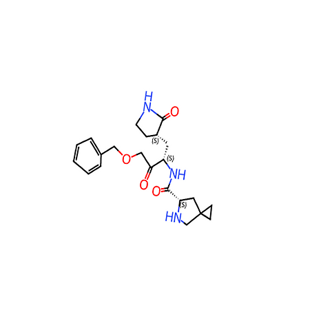 O=C1NCC[C@H]1C[C@H](NC(=O)[C@@H]1CC2(CC2)CN1)C(=O)COCc1ccccc1